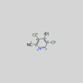 CCc1c(Cl)cnc(C#N)c1Cl